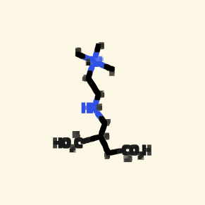 C[N+](C)(C)CCNCC(CC(=O)O)C(=O)O